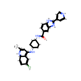 O=C(N[C@H]1CC[C@@H](Nc2cc(C(F)(F)F)nc3ccc(Cl)cc23)CC1)c1ccc2[nH]c(-c3ccncc3)nc2c1